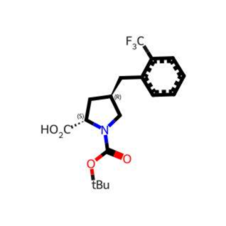 CC(C)(C)OC(=O)N1C[C@H](Cc2ccccc2C(F)(F)F)C[C@H]1C(=O)O